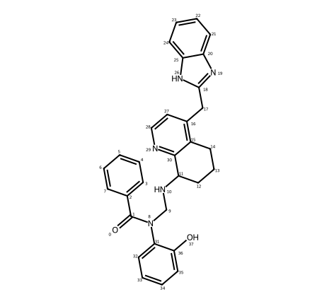 O=C(c1ccccc1)N(CNC1CCCc2c(Cc3nc4ccccc4[nH]3)ccnc21)c1ccccc1O